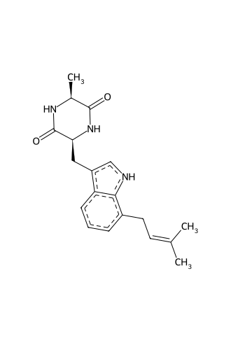 CC(C)=CCc1cccc2c(C[C@@H]3NC(=O)[C@H](C)NC3=O)c[nH]c12